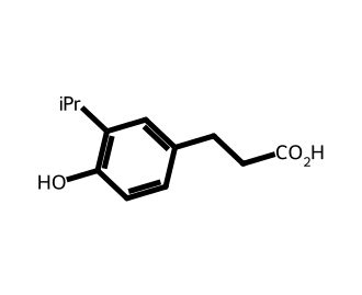 CC(C)c1cc(CCC(=O)O)ccc1O